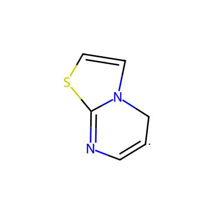 [C]1=CN=C2SC=CN2C1